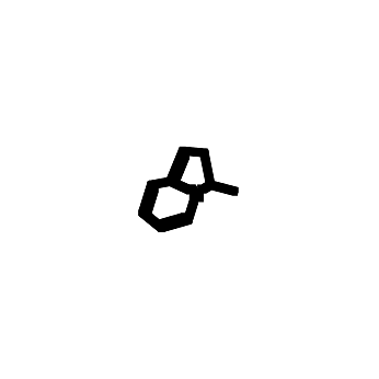 CC1CC=C2C=CC=CN21